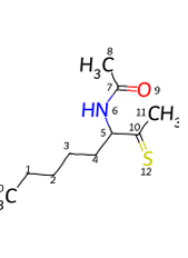 CCCCCC(NC(C)=O)C(C)=S